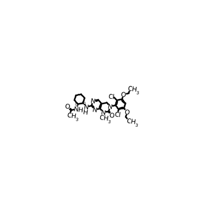 CCOc1cc(OCC)c(Cl)c(N2Cc3cnc(N[C@@H]4CCCC[C@@H]4NC(C)=O)nc3N(C)C2=O)c1Cl